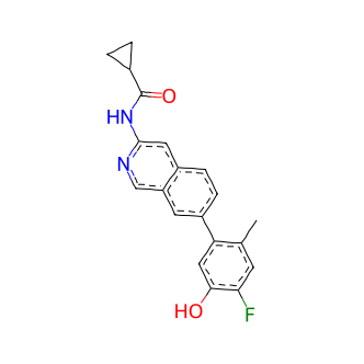 Cc1cc(F)c(O)cc1-c1ccc2cc(NC(=O)C3CC3)ncc2c1